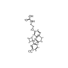 O=C(O)NCCOc1ccc2c(c1)C(C1(c3cccc(Cl)n3)CCC1)=NCC2